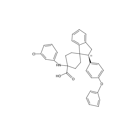 O=C(O)C1(Nc2cccc(Cl)c2)CCC2(CC1)c1ccccc1C[C@H]2c1ccc(Oc2ccccc2)cc1